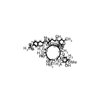 CC[C@H]1OC(=O)[C@H](C)[C@@H](O[C@H]2C[C@@](C)(OC)[C@@H](O)[C@H](C)O2)[C@H](C)[C@@H](O[C@@H]2O[C@H](C)C[C@H](N(C)CCC(Cl)(Cl)C(=O)N[C@H](CF)Cc3ccc(S(C)(=O)=O)cc3)[C@H]2O)[C@](C)(O)CC[C@@H](C)CN(C)[C@H](C)[C@@H](O)C[C@]1(C)O